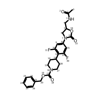 CC(=O)NCC1CN(c2cc(F)c(C3CCN(C(=O)OCc4ccccc4)CC3)c(F)c2)C(=O)O1